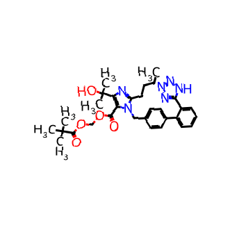 CCCCc1nc(C(C)(C)O)c(C(=O)OCOC(=O)C(C)(C)C)n1Cc1ccc(-c2ccccc2-c2nnn[nH]2)cc1